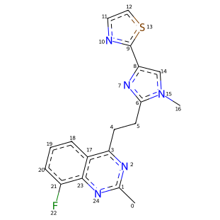 Cc1nc(CCc2nc(-c3nccs3)cn2C)c2cccc(F)c2n1